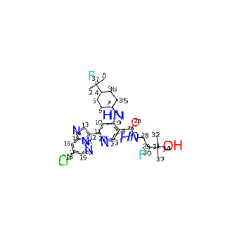 CC(C)(F)C1CCC(Nc2cc(-c3cnc4cc(Cl)cnn34)ncc2C(=O)NC[C@@H](F)C(C)(C)O)CC1